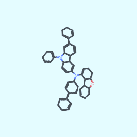 C1=CC(C2=CC3C(C=C2)C2C=C(N(C4=CCCC5OC6CCC=CC6C45)C4C=CC(C5=CCCC=C5)CC4)C=CC2N3C2=CCCC=C2)=CCC1